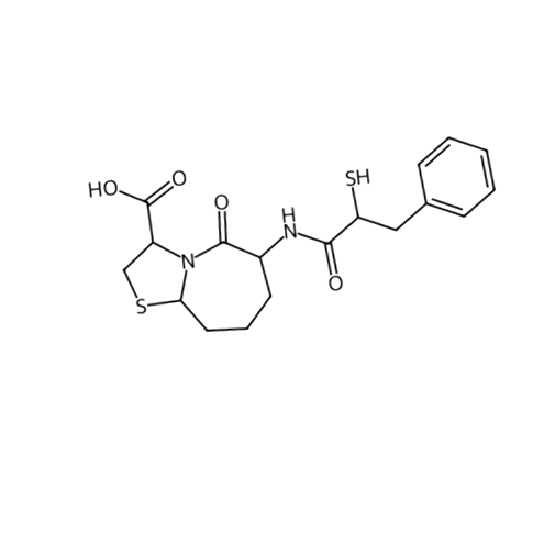 O=C(NC1CCCC2SCC(C(=O)O)N2C1=O)C(S)Cc1ccccc1